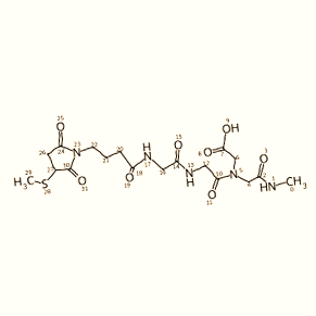 CNC(=O)CN(CC(=O)O)C(=O)CNC(=O)CNC(=O)CCCN1C(=O)CC(SC)C1=O